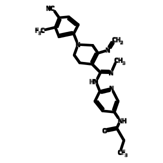 C=NC1=C(/C(=N\C)Nc2ccc(NC(=O)CC(F)(F)F)cn2)CCN(c2ccc(C#N)c(C(F)(F)F)c2)C1